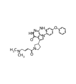 CN(C)CC=CC(=O)N1CCC(c2cn(-c3ccc(Oc4ccccc4)cc3)c3c(N)n[nH]c(=O)c23)C1